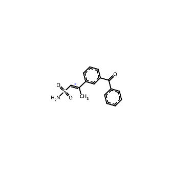 C/C(=C\S(N)(=O)=O)c1cccc(C(=O)c2ccccc2)c1